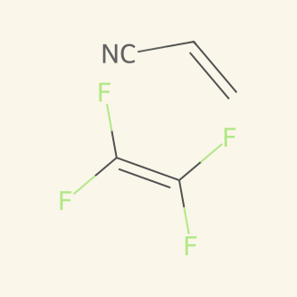 C=CC#N.FC(F)=C(F)F